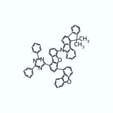 CC1(C)c2ccccc2-c2ccc3c(c21)c1ccccc1n3-c1cccc2c1oc1c(-c3cccc4oc5ccccc5c34)ccc(-c3nc(-c4ccccc4)nc(-c4ccccc4)n3)c12